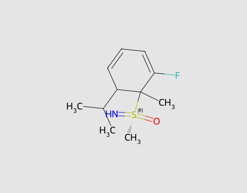 CC(C)C1C=CC=C(F)C1(C)[S@](C)(=N)=O